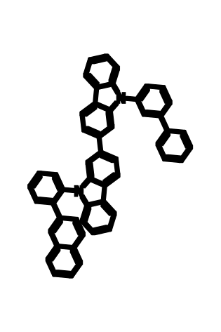 c1ccc(-c2cccc(-n3c4ccccc4c4ccc(-c5ccc6c7ccccc7n(-c7ccccc7-c7ccc8ccccc8c7)c6c5)cc43)c2)cc1